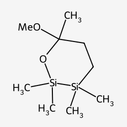 COC1(C)CC[Si](C)(C)[Si](C)(C)O1